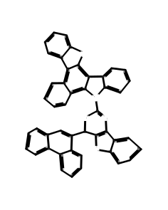 c1ccc2c(c1)cc(C1NC(n3c4ccccc4c4c5sc6ccccc6c5c5ccccc5c43)=Nc3c1sc1ccccc31)c1ccccc12